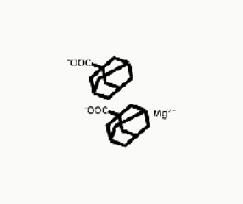 O=C([O-])C12CC3CC(CC(C3)C1)C2.O=C([O-])C12CC3CC(CC(C3)C1)C2.[Mg+2]